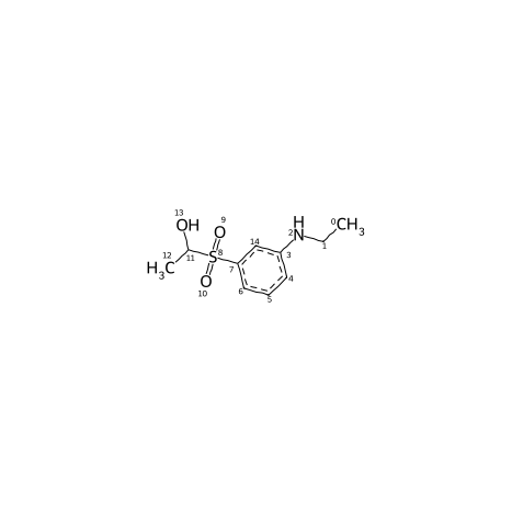 CCNc1cccc(S(=O)(=O)C(C)O)c1